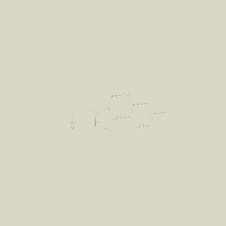 O=C(O)Oc1nc2c3c(Cl)cc(Cl)cc3[nH]c(=O)n2n1